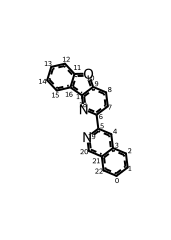 c1ccc2cc(-c3ccc4oc5ccccc5c4n3)ncc2c1